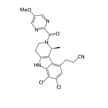 COc1cnc(C(=O)N2CCc3[nH]c4c(Cl)c(Cl)cc(CCC#N)c4c3[C@@H]2C)nc1